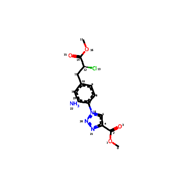 COC(=O)c1cn(-c2ccc(C[C@H](Cl)C(=O)OC)cc2)nn1.N